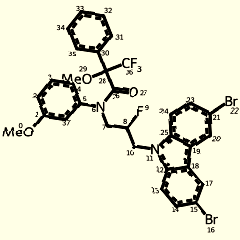 COc1cccc(N(CC(F)Cn2c3ccc(Br)cc3c3cc(Br)ccc32)C(=O)C(OC)(c2ccccc2)C(F)(F)F)c1